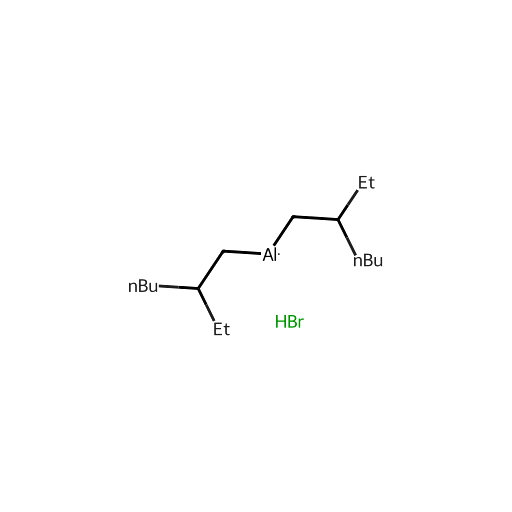 Br.CCCCC(CC)[CH2][Al][CH2]C(CC)CCCC